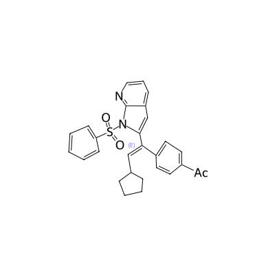 CC(=O)c1ccc(/C(=C\C2CCCC2)c2cc3cccnc3n2S(=O)(=O)c2ccccc2)cc1